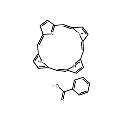 C1=Cc2cc3ccc(cc4nc(cc5ccc(cc1n2)[nH]5)C=C4)[nH]3.O=C(O)c1ccccc1